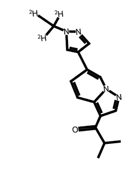 [2H]C([2H])([2H])n1cc(-c2ccc3c(C(=O)C(C)C)cnn3c2)cn1